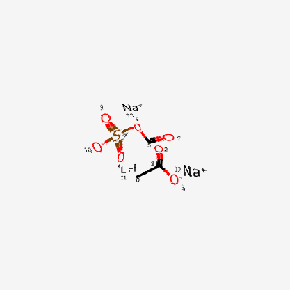 CC(=O)[O-].O=COS(=O)(=O)[O-].[LiH].[Na+].[Na+]